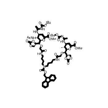 C=C(NC(=O)OC(C)(C)C)N[C@H]1C=C(C(=O)OC)O[C@@H]([C@H](OCC(=O)NCCCCN(CCCCNC(=O)CO[C@@H]([C@@H]2OC(C(=O)OC)=C[C@H](N/C(C)=N\C(=O)OC(C)(C)C)[C@H]2C)[C@H]2COC(=O)O2)C(=O)OCC2c3ccccc3-c3ccccc32)[C@H]2COC(=O)O2)[C@@H]1NC(C)=O